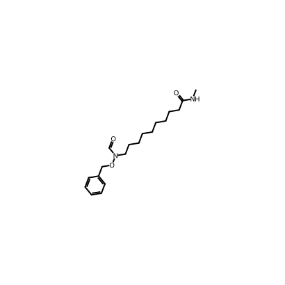 CNC(=O)CCCCCCCCCN(C=O)OCc1ccccc1